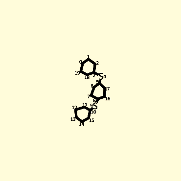 C1CCC(SC2CCC(SC3CCCCC3)CC2)CC1